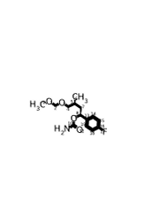 COCOC[C@@H](C)C[C@H](OC(N)=O)c1ccc(F)cc1